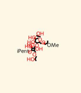 CCCC(C)O[C@H]1C(O)C(O)([C@@H](O)O[C@@H]2C(COCC(C)OC)O[C@@H](C(C)(C)O)C(O)C2O)C1COCC(C)O